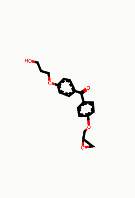 O=C(c1ccc(OCCCO)cc1)c1ccc(OCC2CO2)cc1